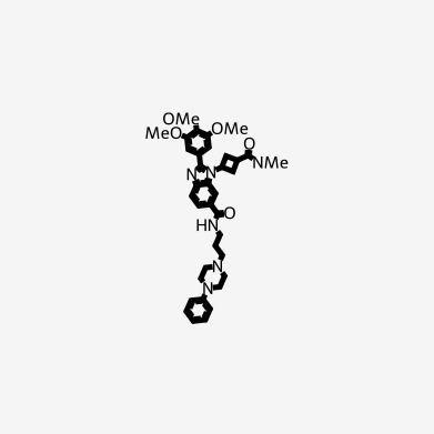 CNC(=O)C1CC(n2c(-c3cc(OC)c(OC)c(OC)c3)nc3ccc(C(=O)NCCCN4CCN(c5ccccc5)CC4)cc32)C1